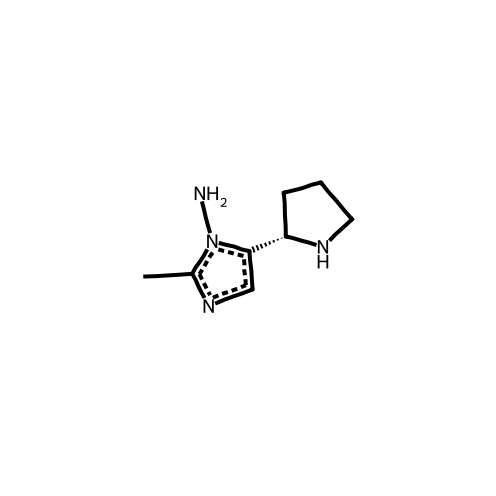 Cc1ncc([C@@H]2CCCN2)n1N